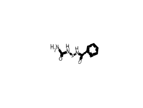 NC(=O)NSNC(=O)c1ccccc1